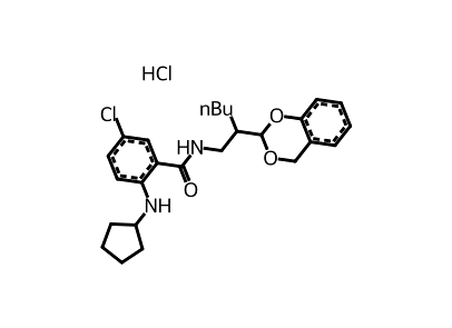 CCCCC(CNC(=O)c1cc(Cl)ccc1NC1CCCC1)C1OCc2ccccc2O1.Cl